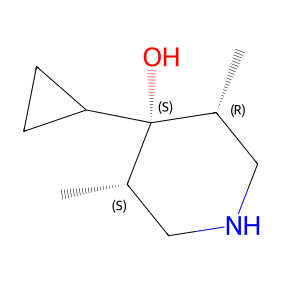 C[C@@H]1CNC[C@H](C)[C@@]1(O)C1CC1